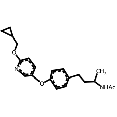 CC(=O)NC(C)CCc1ccc(Oc2ccc(OCC3CC3)nc2)cc1